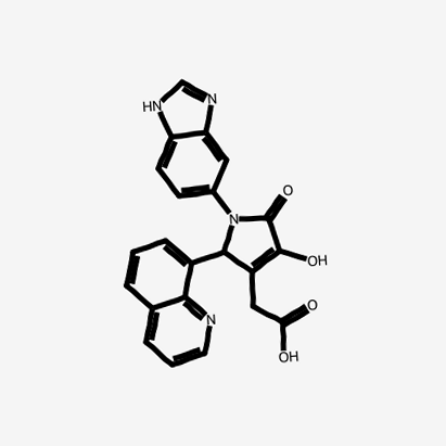 O=C(O)CC1=C(O)C(=O)N(c2ccc3[nH]cnc3c2)C1c1cccc2cccnc12